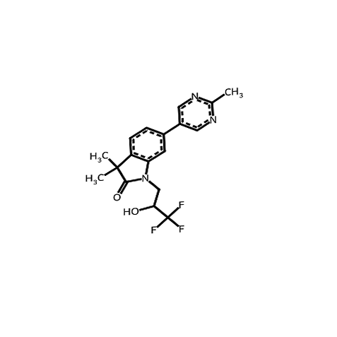 Cc1ncc(-c2ccc3c(c2)N(CC(O)C(F)(F)F)C(=O)C3(C)C)cn1